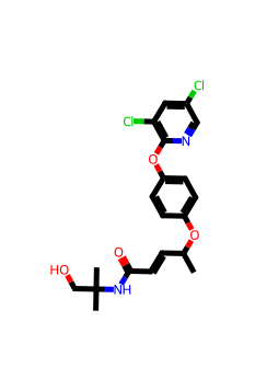 CC(C=CC(=O)NC(C)(C)CO)Oc1ccc(Oc2ncc(Cl)cc2Cl)cc1